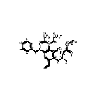 C=Cc1cc(OCc2ccccc2)c(N(CC(=O)O)C(=O)C(F)(F)F)c(F)c1C[C@H](C)NC(=O)OC(C)(C)C